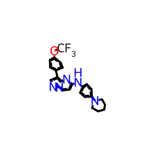 FC(F)(F)Oc1ccc(-c2cnn3ccc(Nc4ccc(N5CCCCC5)cc4)nc23)cc1